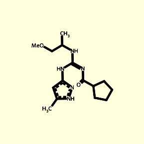 COCC(C)N/C(=N/C(=O)C1CCCC1)Nc1cc(C)[nH]n1